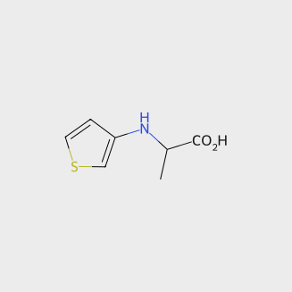 CC(Nc1ccsc1)C(=O)O